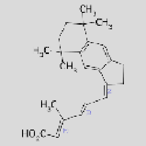 CC(/C=C/C=C1/CCc2cc3c(cc21)C(C)(C)CCC3(C)C)=C\C(=O)O